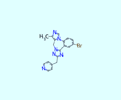 Cc1ncn2c1Cn1nc(Cc3ccncc3)nc1-c1cc(Br)ccc1-2